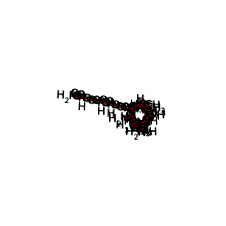 CC(C)(C)SC[C@@H]1NC(=O)[C@H](CCCCN)NC(=O)CSC(C(=O)NCCOCCOCCOCCNC(=O)COCC(=O)NCCOCCOCCOCCNC(=O)COCC(N)=O)NC(=O)[C@H](Cc2ccccc2)NC(=O)[C@H](CSC(C)(C)C)NC(=O)[C@H](CC(=O)O)NC(=O)CNC(=O)[C@H](CCCNC(=N)N)NC1=O